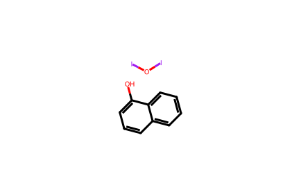 IOI.Oc1cccc2ccccc12